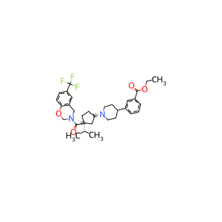 CCOC(=O)c1cccc(C2CCN([C@H]3CC[C@@](C(=O)N4COc5ccc(C(F)(F)F)cc5C4)(C(C)C)C3)CC2)c1